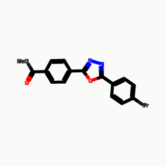 COC(=O)c1ccc(-c2nnc(-c3ccc(C(C)C)cc3)o2)cc1